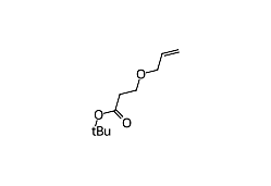 C=CCOCCC(=O)OC(C)(C)C